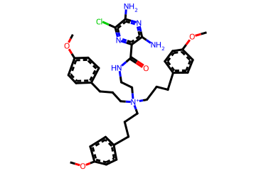 COc1ccc(CCC[N+](CCCc2ccc(OC)cc2)(CCCc2ccc(OC)cc2)CCNC(=O)c2nc(Cl)c(N)nc2N)cc1